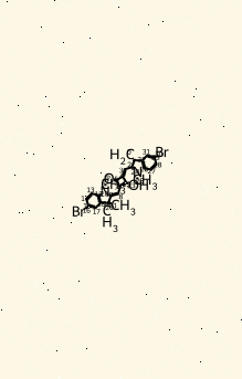 C=C1C(/C=C2/C(=O)C(C=C3N(C)c4ccc(Br)cc4C3(C)C)=C2O)=[N+](C)c2ccc(Br)cc21